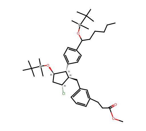 CCCCCC(O[Si](C)(C)C(C)(C)C)c1ccc([C@@H]2[C@@H](Cc3cccc(CCC(=O)OC)c3)[C@H](Cl)C[C@H]2O[Si](C)(C)C(C)(C)C)cc1